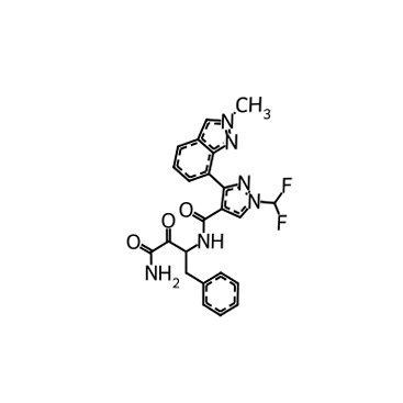 Cn1cc2cccc(-c3nn(C(F)F)cc3C(=O)NC(Cc3ccccc3)C(=O)C(N)=O)c2n1